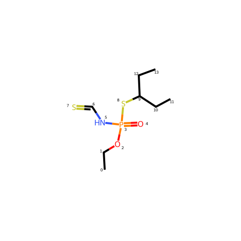 CCOP(=O)(NC=S)SC(CC)CC